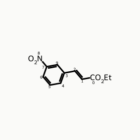 CCOC(=O)C=Cc1cccc([N+](=O)[O-])c1